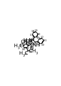 CC1=C(S(=O)(=O)NC(c2ccccc2)[C@@H](N)c2ccccc2)C(C(C)C)=CC1(C)C